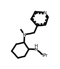 CC(C)NC1CCCCC1N(C)Cc1ccncc1